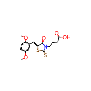 COc1ccc(OC)c(/C=C2\SC(=S)N(CCCC(=O)O)C2=O)c1